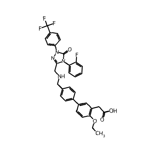 CCOc1ccc(-c2ccc(CNCc3nn(-c4ccc(C(F)(F)F)cc4)c(=O)n3-c3ccccc3F)cc2)cc1CC(=O)O